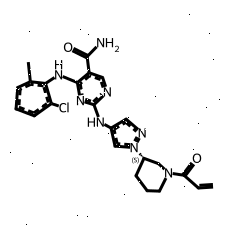 C=CC(=O)N1CCC[C@H](n2cc(Nc3ncc(C(N)=O)c(Nc4c(C)cccc4Cl)n3)cn2)C1